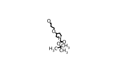 CC(C)(C)OC(=O)N1CCC(OCCC=O)C1